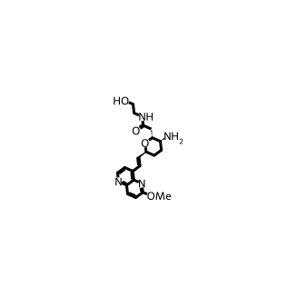 COc1ccc2nccc(C=C[C@@H]3CC[C@@H](N)[C@@H](CC(=O)NCCO)O3)c2n1